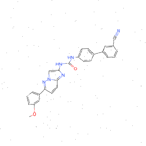 COc1cccc(-c2ccc3nc(NC(=O)Nc4ccc(-c5cccc(C#N)c5)cc4)cn3n2)c1